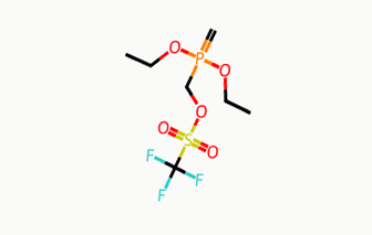 C=P(COS(=O)(=O)C(F)(F)F)(OCC)OCC